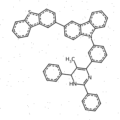 CC1=C(c2cccc(-n3c4ccccc4c4cc(-c5ccc6sc7ccccc7c6c5)ccc43)c2)N=C(c2ccccc2)NC1c1ccccc1